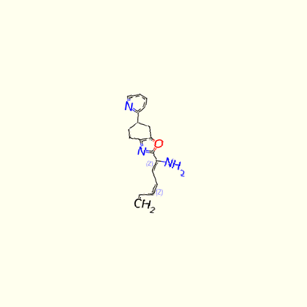 C=C/C=C\C=C(/N)c1nc2c(o1)CC(c1ccccn1)CC2